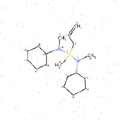 C=CCS(C)(N(C)C1CCCCC1)N(C)C1CCCCC1